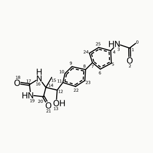 CC(=O)Nc1ccc(-c2ccc(C(O)C3(C)NC(=O)NC3=O)cc2)cc1